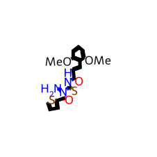 COc1cccc(OC)c1C=CC(=O)NC(=S)N(N)C(=O)c1cccs1